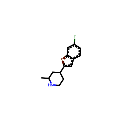 CC1CC(c2cc3ccc(F)cc3s2)CCN1